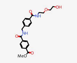 COC(=O)c1ccc(C(=O)NCc2ccc(C(=O)NCCOCCO)cc2)cc1